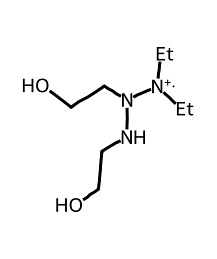 CC[N+](CC)N(CCO)NCCO